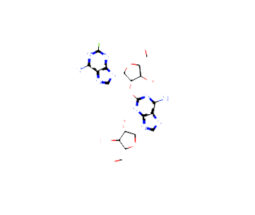 Nc1nc(O[C@@H]2C(O)[C@@H](CO)O[C@H]2n2cnc3c(N)nc(F)nc32)nc2c1ncn2[C@@H]1O[C@H](CO)C(O)[C@H]1O